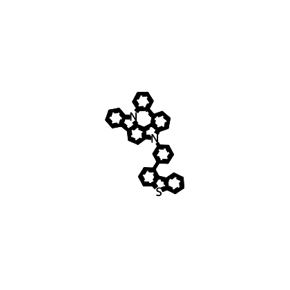 c1cc(-c2cccc3sc4ccccc4c23)cc(-n2c3cccc4c5ccccc5n5c6ccccc6c6ccc2c(c43)c65)c1